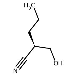 CCC[C@H](C#N)CO